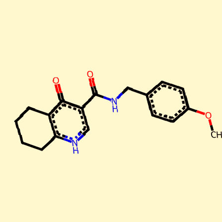 COc1ccc(CNC(=O)c2c[nH]c3c(c2=O)CCCC3)cc1